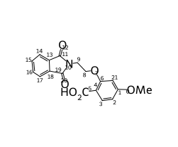 COc1ccc(C(=O)O)c(OCCN2C(=O)c3ccccc3C2=O)c1